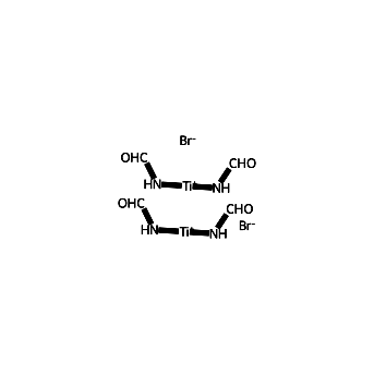 O=C[NH][Ti+][NH]C=O.O=C[NH][Ti+][NH]C=O.[Br-].[Br-]